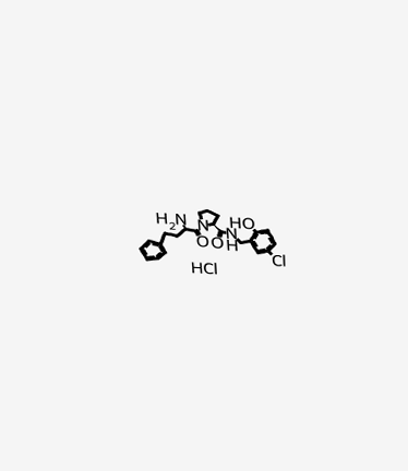 Cl.N[C@H](CCc1ccccc1)C(=O)N1CCC[C@H]1C(=O)NCc1cc(Cl)ccc1O